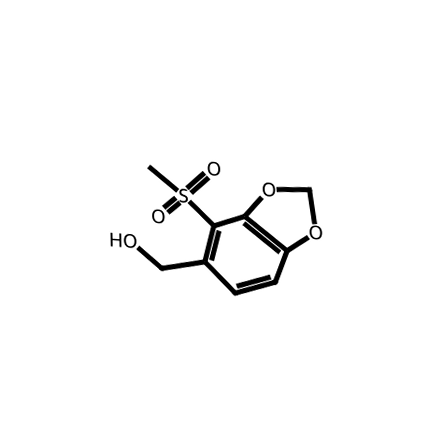 CS(=O)(=O)c1c(CO)ccc2c1OCO2